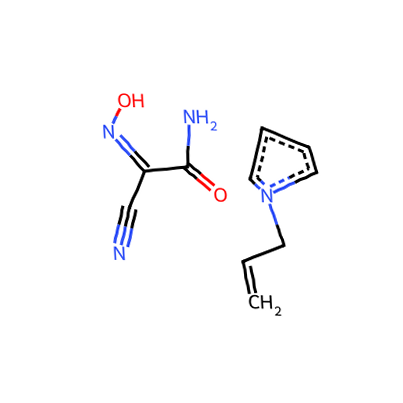 C=CCn1cccc1.N#CC(=NO)C(N)=O